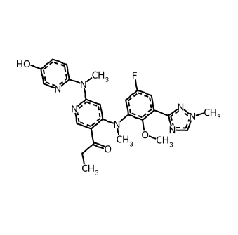 CCC(=O)c1cnc(N(C)c2ccc(O)cn2)cc1N(C)c1cc(F)cc(-c2ncn(C)n2)c1OC